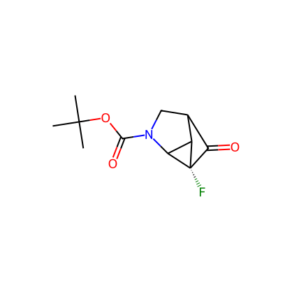 CC(C)(C)OC(=O)N1CC2C(=O)[C@]3(F)C2C13